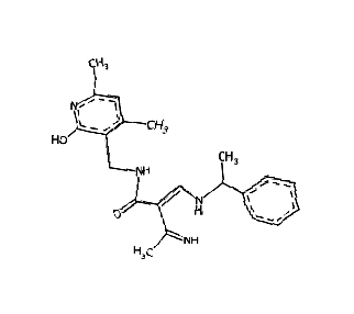 CC(=N)/C(=C\NC(C)c1ccccc1)C(=O)NCc1c(C)cc(C)nc1O